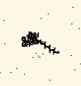 CCCCCCCCCCCC1(C(C)O)NCCN1CC(=O)O